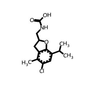 Cc1c(Cl)cc(C(C)C)c2c1CC(CNC(=O)O)O2